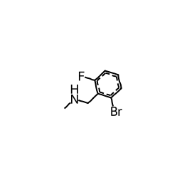 CNCc1c(F)cccc1Br